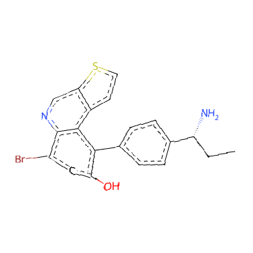 CC[C@@H](N)c1ccc(-c2c(O)cc(Br)c3ncc4sccc4c23)cc1